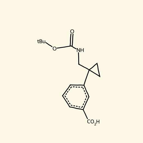 CC(C)(C)OC(=O)NCC1(c2cccc(C(=O)O)c2)CC1